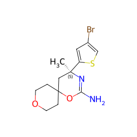 C[C@@]1(c2cc(Br)cs2)CC2(CCOCC2)OC(N)=N1